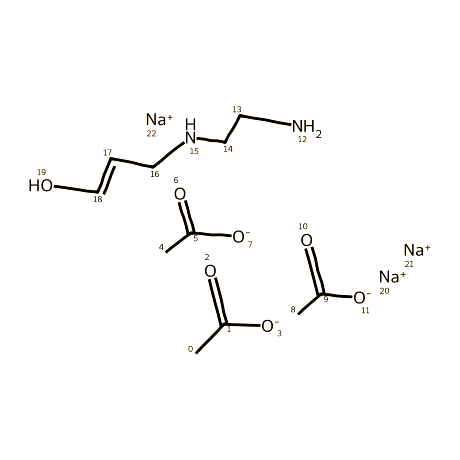 CC(=O)[O-].CC(=O)[O-].CC(=O)[O-].NCCNCC=CO.[Na+].[Na+].[Na+]